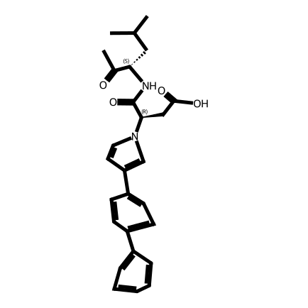 CC(=O)[C@H](CC(C)C)NC(=O)[C@@H](CC(=O)O)n1ccc(-c2ccc(-c3ccccc3)cc2)c1